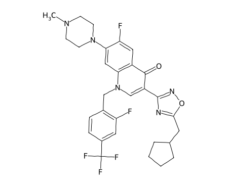 CN1CCN(c2cc3c(cc2F)c(=O)c(-c2noc(CC4CCCC4)n2)cn3Cc2ccc(C(F)(F)F)cc2F)CC1